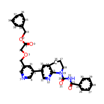 O=C(COCc1cncc(-c2cnc3c(c2)CCCN3C(=O)NC(=O)c2ccccc2)c1)OCc1ccccc1